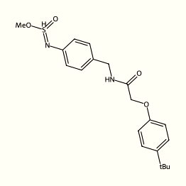 CO[SH](=O)=Nc1ccc(CNC(=O)COc2ccc(C(C)(C)C)cc2)cc1